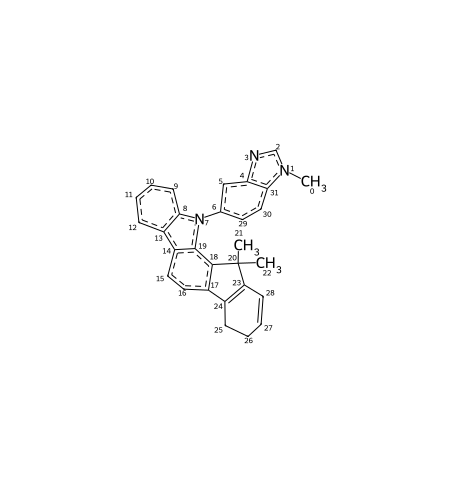 Cn1cnc2cc(-n3c4ccccc4c4ccc5c(c43)C(C)(C)C3=C5CCC=C3)ccc21